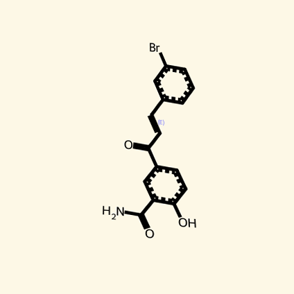 NC(=O)c1cc(C(=O)/C=C/c2cccc(Br)c2)ccc1O